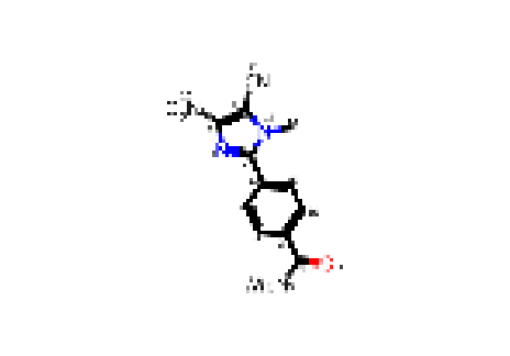 CNC(=O)c1ccc(-c2nc([N+](=O)[O-])c(C#N)n2C)cc1